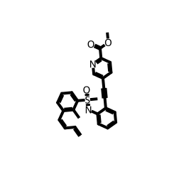 C=C/C=C\c1cccc(S(C)(=O)=Nc2ccccc2C#Cc2ccc(C(=O)OC)nc2)c1C